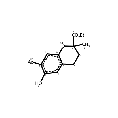 CCOC(=O)C1(C)CCc2cc(O)c(C(C)=O)cc2O1